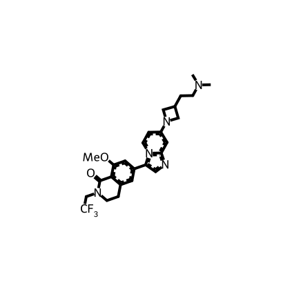 COc1cc(-c2cnc3cc(N4CC(CCN(C)C)C4)ccn23)cc2c1C(=O)N(CC(F)(F)F)CC2